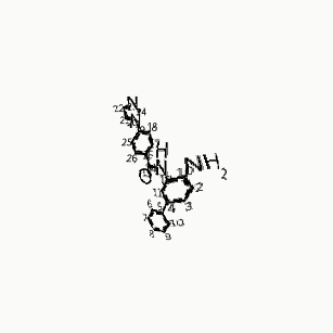 Nc1ccc(-c2ccccc2)cc1NC(=O)c1ccc(-n2ccnc2)cc1